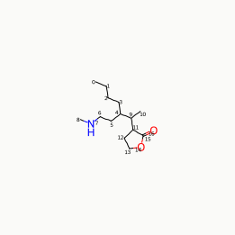 CCCCC(CCNC)C(C)C1CCOC1=O